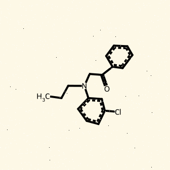 CCCN(CC(=O)c1ccccc1)c1cccc(Cl)c1